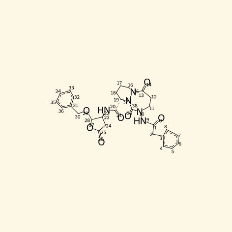 O=C(Cc1ccccc1)NN1CCC(=O)N2CCC[C@@H](C(=O)N[C@H]3CC(=O)OC3OCc3ccccc3)N2C1=O